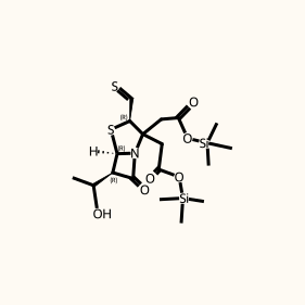 CC(O)[C@@H]1C(=O)N2[C@@H]1S[C@@H](C=S)C2(CC(=O)O[Si](C)(C)C)CC(=O)O[Si](C)(C)C